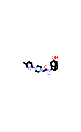 Cc1ccc(N2CCN(CC(=O)NC3C4CC5CC3CC(O)(C5)C4)CC2)nc1